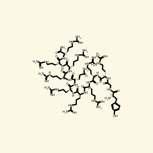 N=C(N)NCCC[C@H](NC(=O)[C@H](CCCNC(=N)N)NC(=O)[C@H](CCCNC(=N)N)NC(=O)[C@H](CCCNC(=N)N)NC(=O)[C@H](CCC(N)=O)NC(=O)[C@H](CCCNC(=N)N)NC(=O)[C@H](CCCNC(=N)N)NC(=O)[C@H](CCCNC(=N)N)NC(=O)[C@H](CCCNC(=N)N)NC(=O)[C@H](CCCNC(=N)N)NC(=O)CNC(=O)[C@@H](N)Cc1ccc(O)cc1)C(N)=O